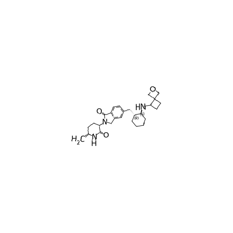 C=C1CCC(N2Cc3cc(C[C@H]4CCCC[C@@H]4NC4CCC45COC5)ccc3C2=O)C(=O)N1